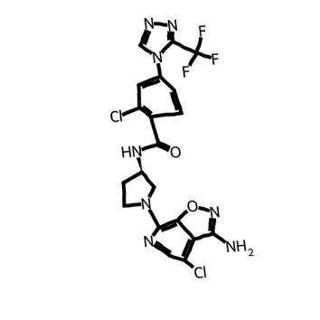 Nc1noc2c(N3CC[C@@H](NC(=O)c4ccc(-n5cnnc5C(F)(F)F)cc4Cl)C3)ncc(Cl)c12